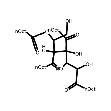 CCCCCCCCC(=O)OC(CO)C(O)(C(=O)CCCCCCCC)C(O)(C(=O)CCCCCCCC)C(O)C(O)C(=O)CCCCCCCC